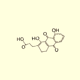 O=C(O)CCC1=C(O)C2=C(CC1)C(=O)c1cccc(O)c1C2=O